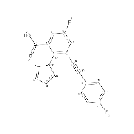 O=C(O)c1cc(F)cc(C#Cc2ccc(F)cc2)c1-n1cccc1